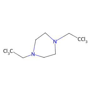 ClC(Cl)(Cl)CN1CCN(CC(Cl)(Cl)Cl)CC1